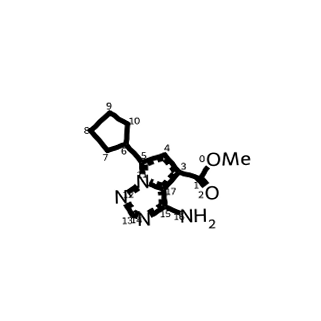 COC(=O)c1cc(C2CCCC2)n2ncnc(N)c12